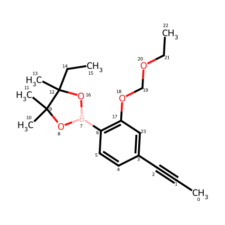 CC#Cc1ccc(B2OC(C)(C)C(C)(CC)O2)c(OCOCC)c1